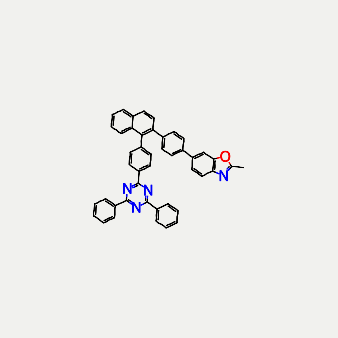 Cc1nc2ccc(-c3ccc(-c4ccc5ccccc5c4-c4ccc(-c5nc(-c6ccccc6)nc(-c6ccccc6)n5)cc4)cc3)cc2o1